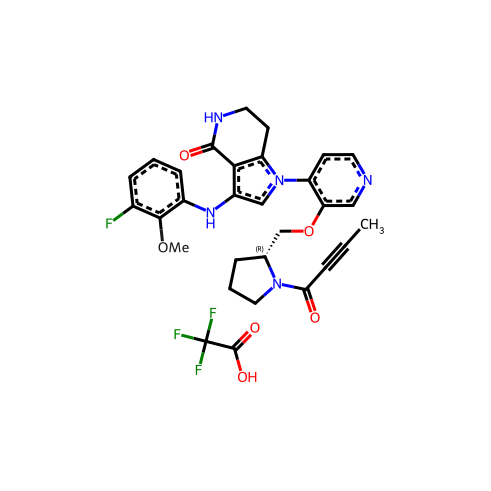 CC#CC(=O)N1CCC[C@@H]1COc1cnccc1-n1cc(Nc2cccc(F)c2OC)c2c1CCNC2=O.O=C(O)C(F)(F)F